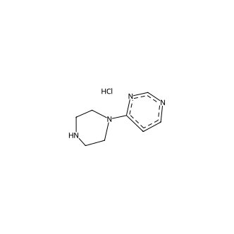 Cl.c1cc(N2CCNCC2)ncn1